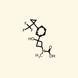 CN(C(=O)O)C1CC(O)(c2cccc(C3(C(F)(F)F)CC3)c2)C1